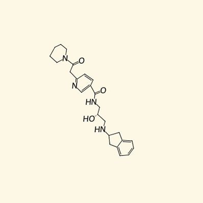 O=C(NC[C@@H](O)CNC1Cc2ccccc2C1)c1ccc(CC(=O)N2CCCCC2)nc1